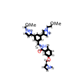 COCCn1cc(-c2cc(-c3ccn(COC)n3)cc([C@@H](C)NC(=O)c3cc(OC[C@@H]4CCN4C)ccc3C)c2)cn1